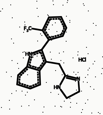 Cl.FC(F)(F)c1ccccc1-c1[nH]c2ccccc2c1CC1=NCCN1